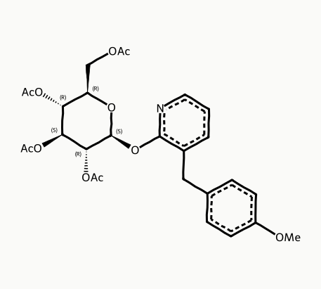 COc1ccc(Cc2cccnc2O[C@@H]2O[C@H](COC(C)=O)[C@@H](OC(C)=O)[C@H](OC(C)=O)[C@H]2OC(C)=O)cc1